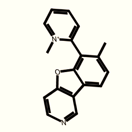 Cc1ccc2c(oc3ccncc32)c1-c1cccc[n+]1C